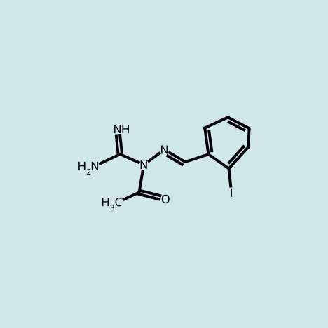 CC(=O)N(/N=C/c1ccccc1I)C(=N)N